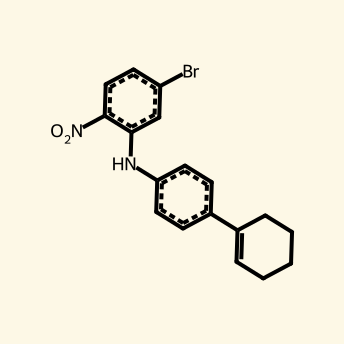 O=[N+]([O-])c1ccc(Br)cc1Nc1ccc(C2=CCCCC2)cc1